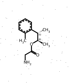 Cc1ccccc1[C@H](C)[C@@H](C)OC(=O)CN